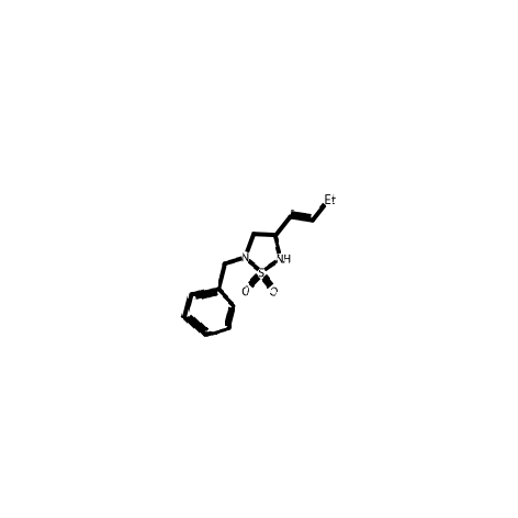 CCC=CC1CN(Cc2ccccc2)S(=O)(=O)N1